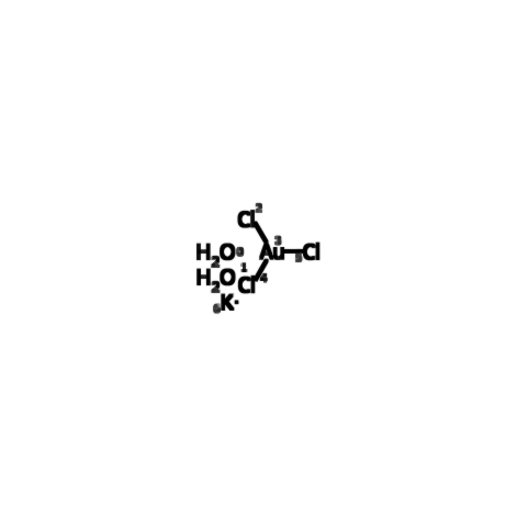 O.O.[Cl][Au]([Cl])[Cl].[K]